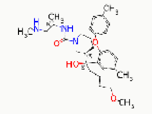 CNC[C@H](C)NC(=O)N1CCC[C@@H]([C@@](O)(CCCCOC)c2cc(C)ccc2Oc2ccc(C)cc2)C1